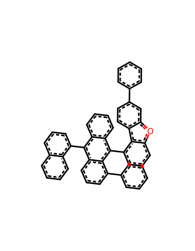 c1ccc(-c2ccc3c(c2)oc2cccc(-c4c5ccccc5c(-c5cccc6ccccc56)c5cccc(-c6ccccc6)c45)c23)cc1